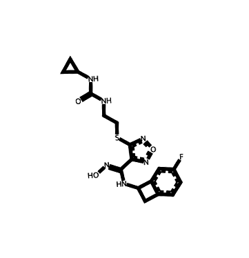 O=C(NCCSc1nonc1/C(=N/O)NC1Cc2ccc(F)cc21)NC1CC1